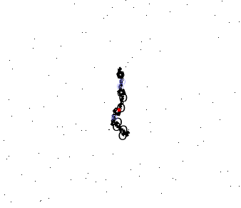 C=Cc1ccc(/C=C/C=C/c2ccc(OCCCOc3ccc(/C=C/CC(=C)C(=O)OCCOC(=O)C(=C)C)cc3)cc2)cc1